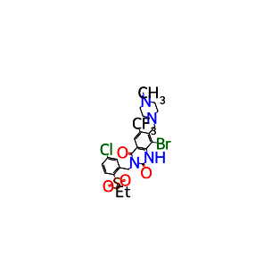 CCS(=O)(=O)c1ccc(Cl)cc1Cn1c(=O)[nH]c2c(Br)c(CN3CCN(C)CC3)c(C(F)(F)F)cc2c1=O